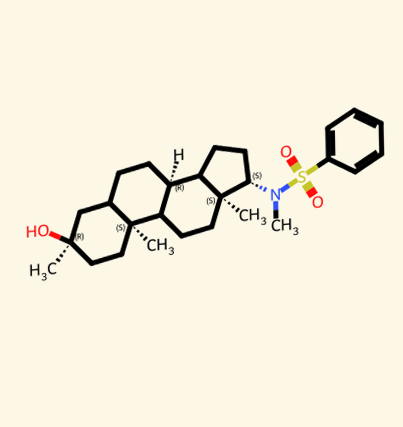 CN([C@H]1CCC2[C@@H]3CCC4C[C@](C)(O)CC[C@]4(C)C3CC[C@@]21C)S(=O)(=O)c1ccccc1